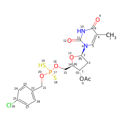 CC(=O)O[C@H]1C[C@H](n2cc(C)c(=O)[nH]c2=O)O[C@@H]1COP(=S)(S)OCc1ccc(Cl)cc1